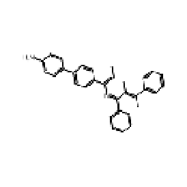 C/C=C(/N=C(\C(C)=C(/C)c1ccccc1)c1ccccc1)c1ccc(-c2ccc(N)cc2)cc1